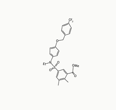 CCN(c1ccc(OCc2ccc(C(F)(F)F)cc2)cc1)S(=O)(=O)c1cc(C)c(C)c(C(=O)OC)c1